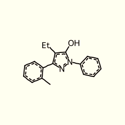 CCc1c(-c2ccccc2C)nn(-c2ccccc2)c1O